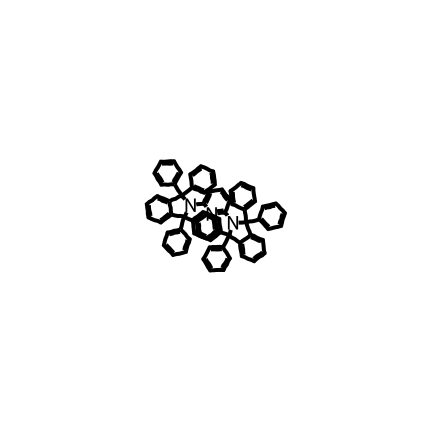 c1ccc(C2(c3ccccc3)c3ccccc3C(c3ccccc3)(c3ccccc3)N2c2cccc(N3C(c4ccccc4)(c4ccccc4)c4ccccc4C3(c3ccccc3)c3ccccc3)n2)cc1